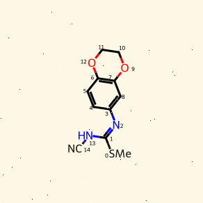 CSC(=Nc1ccc2c(c1)OCCO2)NC#N